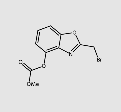 COC(=O)Oc1cccc2oc(CBr)nc12